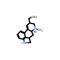 CSCC1C=C2c3cccc4c3C(CN4)C[C@@H]2N(C)C1